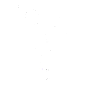 CN(C)C(c1ccc(F)cc1)C1CCC(/C=N/O)CC1